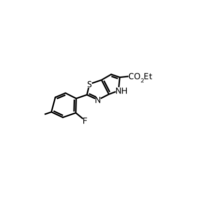 CCOC(=O)c1cc2sc(-c3ccc(C)cc3F)nc2[nH]1